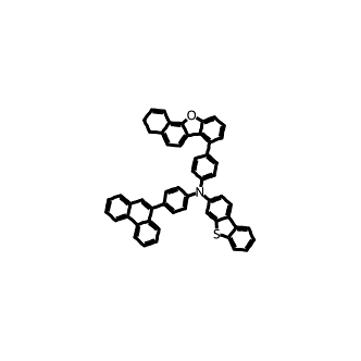 C1=Cc2c(ccc3c2oc2cccc(-c4ccc(N(c5ccc(-c6cc7ccccc7c7ccccc67)cc5)c5ccc6c(c5)sc5ccccc56)cc4)c23)CC1